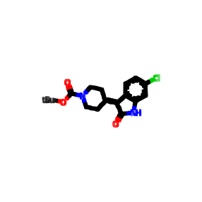 CC(C)(C)OC(=O)N1CCC(=C2C(=O)Nc3cc(Cl)ccc32)CC1